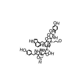 N[C@@H](Cc1ccc(O)cc1)C(=O)N[C@@H](CS)C(=O)N[C@@H](CO)C(=O)N[C@@H](Cc1cccc2[nH]ccc12)C(=O)N[C@@H](CCC=O)C(=O)N[C@@H](Cc1ccc(O)cc1)C(=O)O